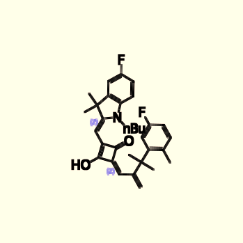 C=C(/C=C1\C(=O)C(/C=C2\N(CCCC)c3ccc(F)cc3C2(C)C)=C1O)C(C)(C)c1cc(F)ccc1C